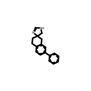 C1=NC2(CCc3ccc(-c4ccccc4)cc3C2)CN1